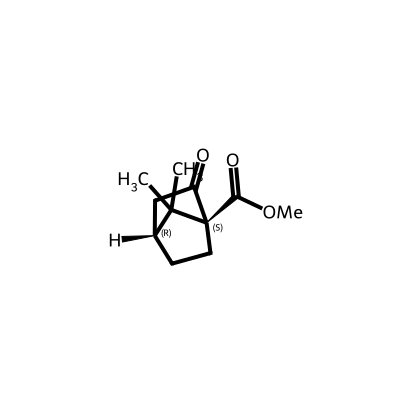 COC(=O)[C@]12CC[C@H](CC1=O)C2(C)C